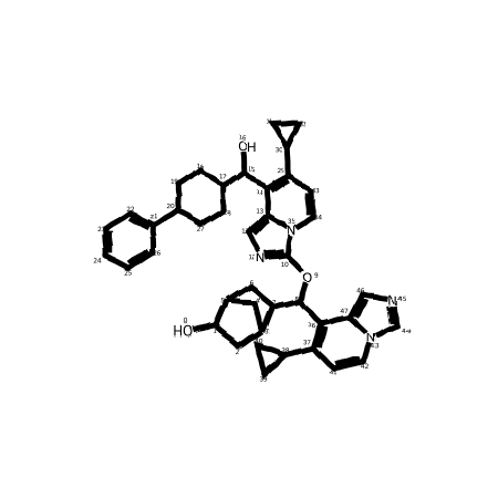 OC1CC2CC1CC2C(Oc1ncc2c(C(O)C3CCC(c4ccccc4)CC3)c(C3CC3)ccn12)c1c(C2CC2)ccn2cncc12